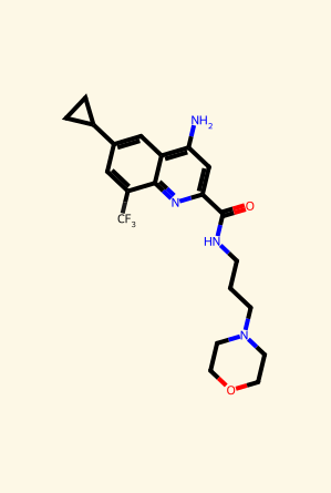 Nc1cc(C(=O)NCCCN2CCOCC2)nc2c(C(F)(F)F)cc(C3CC3)cc12